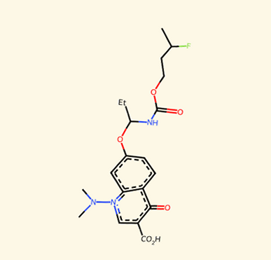 CCC(NC(=O)OCCC(C)F)Oc1ccc2c(=O)c(C(=O)O)cn(N(C)C)c2c1